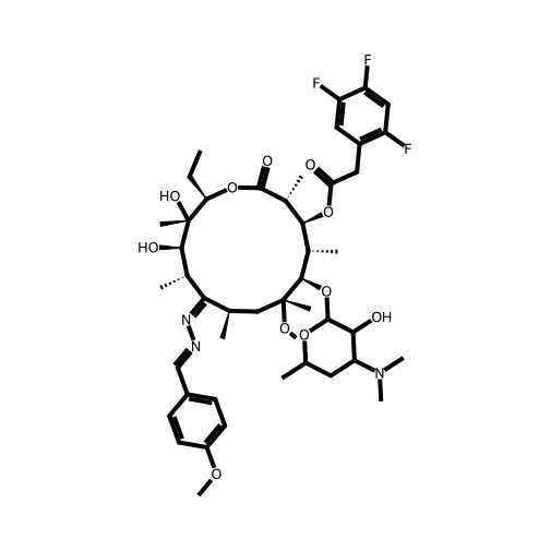 CC[C@H]1OC(=O)[C@H](C)[C@@H](OC(=O)Cc2cc(F)c(F)cc2F)[C@H](C)[C@@H](OC2OC(C)CC(N(C)C)C2O)[C@](C)(OC)C[C@@H](C)/C(=N\N=C\c2ccc(OC)cc2)[C@H](C)[C@@H](O)[C@]1(C)O